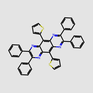 c1ccc(-c2nc3c(-c4cccs4)c4nc(-c5ccccc5)c(-c5ccccc5)nc4c(-c4cccs4)c3nc2-c2ccccc2)cc1